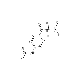 CC(=O)Nc1ccc(C(=O)C(C)(C)N(C)C)cc1